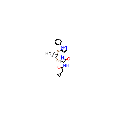 O=C(CC1CC1)N[C@@H]1C(=O)N2CC(Sc3ccnn3-c3ccccc3)(C(=O)O)CS[C@H]12